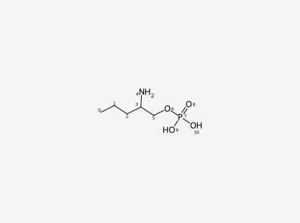 CCCC(N)COP(=O)(O)O